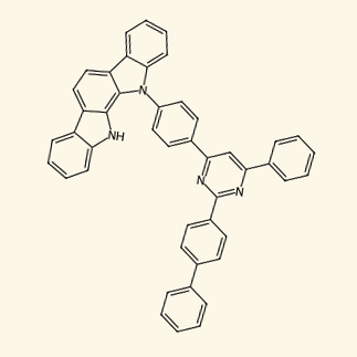 c1ccc(-c2ccc(-c3nc(-c4ccccc4)cc(-c4ccc(-n5c6ccccc6c6ccc7c8ccccc8[nH]c7c65)cc4)n3)cc2)cc1